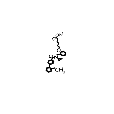 CCc1ccccc1-c1ccc(C(=O)N(Cc2ccccc2OCCCCCC(=O)O)C2CC2)cc1